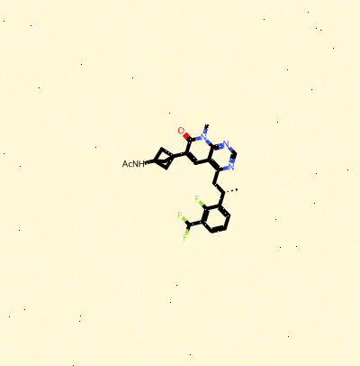 CC(=O)NC12CC(c3cc4c(C[C@H](C)c5cccc(C(F)F)c5F)ncnc4n(C)c3=O)(C1)C2